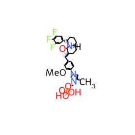 COc1cc(/C=C2\CC[C@@H]3CCC[C@@H](c4cc(F)c(F)c(F)c4)N3C2=O)ccc1-n1cc(C)[n+](COP(=O)(O)O)c1